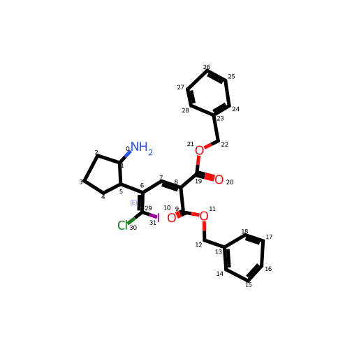 NC1CCCC1/C(C=C(C(=O)OCc1ccccc1)C(=O)OCc1ccccc1)=C(\Cl)I